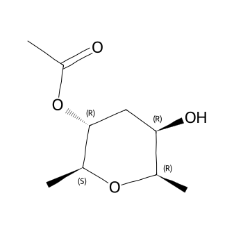 CC(=O)O[C@@H]1C[C@@H](O)[C@@H](C)O[C@H]1C